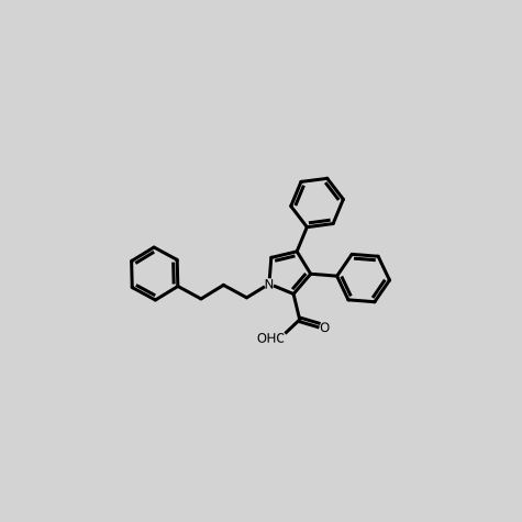 O=CC(=O)c1c(-c2ccccc2)c(-c2ccccc2)cn1CCCc1ccccc1